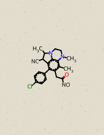 Cc1c(CC(=O)N=O)c(-c2ccc(Cl)cc2)c2c3c1N(C)CCN3C(C)C2C#N